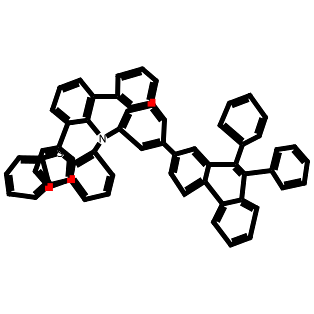 c1ccc(-c2cccc(-c3ccccc3)c2N(c2cccc(-c3ccc4c(c3)c(-c3ccccc3)c(-c3ccccc3)c3ccccc34)c2)c2cccc3c2sc2ccccc23)cc1